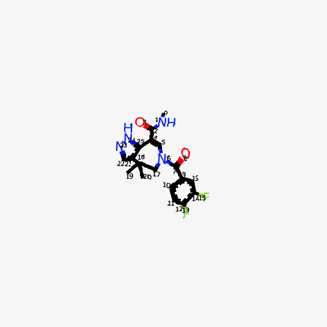 CNC(=O)C1=CN(C(=O)c2ccc(F)c(F)c2)CC(C)(C)c2cn[nH]c21